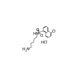 Cl.NCCCCCNS(=O)(=O)c1cccc2c(Cl)cccc12